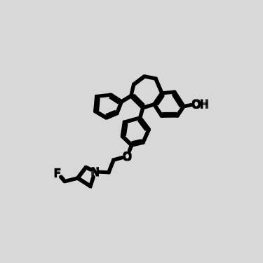 Oc1ccc2c(c1)CCCC(c1ccccc1)=C2c1ccc(OCCN2CC(CF)C2)cc1